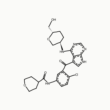 O=C(c1cc(NC(=O)C2CCOCC2)ccc1Cl)c1c[nH]c2ncnc(N[C@@H]3CC[C@@H](CO)OC3)c12